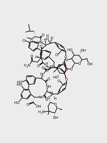 CN[C@H](CC(C)C)C(=O)N[C@H]1C(=O)C[C@@H](CC(N)=O)C(=O)N[C@H]2C(=O)C[C@H]3C(=O)N[C@H](C(=O)N[C@H](C(=O)O)c4cc(O)cc(O)c4-c4cc3ccc4O)[C@H](O[C@H]3CC(C)(N)[C@@H](O)[C@H](C)O3)c3ccc(c(Cl)c3)Oc3cc2cc(c3O[C@@H]2OC(CO)[C@@H](O)C(O)C2O[C@H]2CC(C)(NCc3ccc(-c4ccc(Cl)cc4)cc3)[C@@H](O)[C@H](C)O2)Oc2ccc(cc2Cl)[C@H]1O